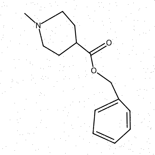 CN1CCC(C(=O)OCc2ccccc2)CC1